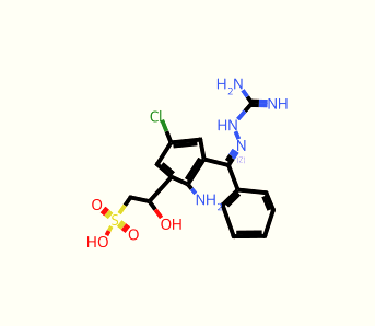 N=C(N)N/N=C(/c1ccccc1)c1cc(Cl)cc(C(O)CS(=O)(=O)O)c1N